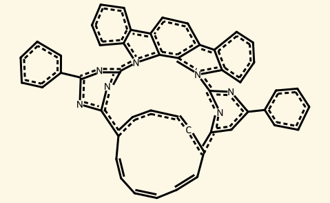 C1=C\C=C/c2ccccc(c3cc(-c4ccccc4)nc(n3)n3c4ccccc4c4ccc5c6ccccc6n(c6nc(-c7ccccc7)nc2n6)c5c43)\C=C/1